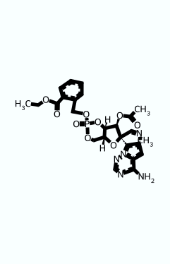 CCOC(=O)c1ccccc1COP1(=O)OC[C@H]2O[C@@](/C=N\C)(c3ccc4c(N)ncnn34)[C@H](OC(C)=O)[C@@H]2O1